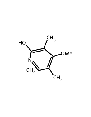 C.COc1c(C)cnc(O)c1C